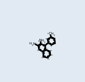 Cc1cccc(-c2c(N)c(N)cc3ccccc23)c1